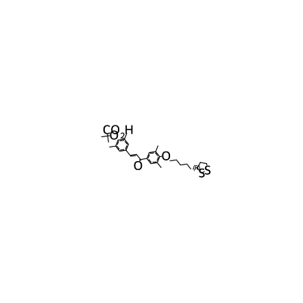 Cc1cc(C(=O)C=Cc2cc(C)c(OC(C)(C)C(=O)O)c(C)c2)cc(C)c1OCCCCC[C@@H]1CCSS1